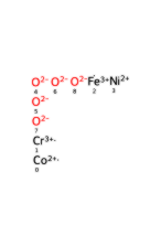 [Co+2].[Cr+3].[Fe+3].[Ni+2].[O-2].[O-2].[O-2].[O-2].[O-2]